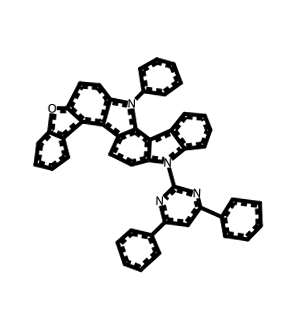 c1ccc(-c2cc(-c3ccccc3)nc(-n3c4ccccc4c4c3ccc3c5c6c(ccc5n(-c5ccccc5)c34)oc3ccccc36)n2)cc1